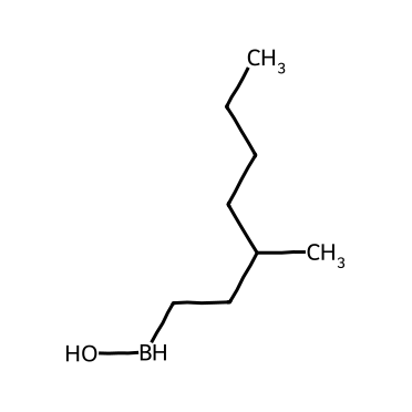 CCCCC(C)CCBO